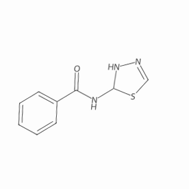 O=C(NC1NN=CS1)c1ccccc1